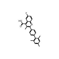 Cc1cc(C)c(-c2ccc(-c3nc4ccc(F)cc4c(C(=O)O)c3C)cc2)c(C)c1